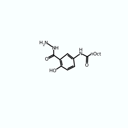 CCCCCCCCC(=O)Nc1ccc(O)c(C(=O)NN)c1